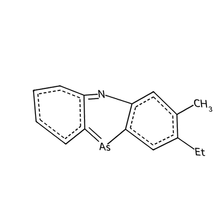 CCc1cc2c(cc1C)N=c1ccccc1=[As]2